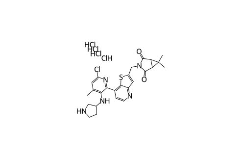 Cc1cc(Cl)nc(-c2ccnc3cc(CN4C(=O)C5C(C4=O)C5(C)C)sc23)c1NC1CCNC1.Cl.Cl.Cl.Cl